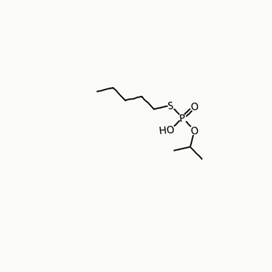 CCCCCSP(=O)(O)OC(C)C